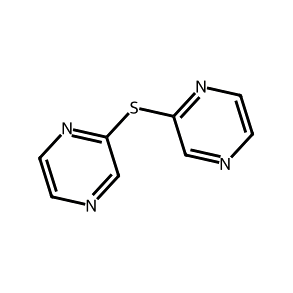 c1cnc(Sc2cnccn2)cn1